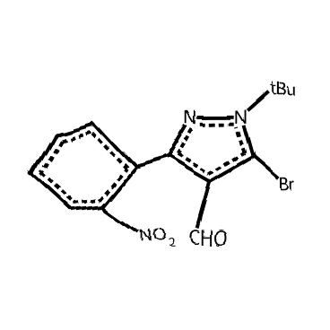 CC(C)(C)n1nc(-c2ccccc2[N+](=O)[O-])c(C=O)c1Br